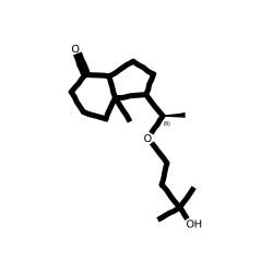 C[C@@H](OCCC(C)(C)O)C1CCC2C(=O)CCCC21C